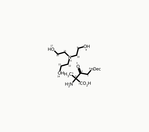 CCCCCCCCCCCC(=O)C(C)(N)C(=O)O.OCCN(CCO)CCO